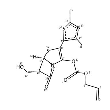 C=CCOC(=O)OC1=C(c2sc(C)nc2C)S[C@@H]2[C@@H](CO)C(=O)N12